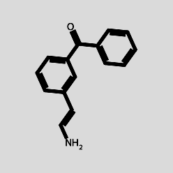 NC=Cc1cccc(C(=O)c2ccccc2)c1